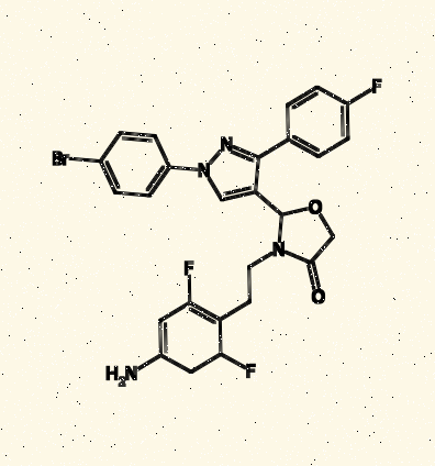 NC1=CC(F)=C(CCN2C(=O)COC2c2cn(-c3ccc(Br)cc3)nc2-c2ccc(F)cc2)C(F)C1